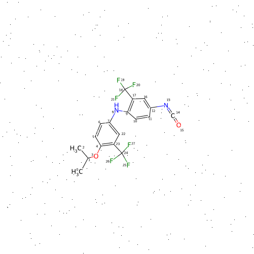 CC(C)Oc1ccc(Nc2ccc(N=C=O)cc2C(F)(F)F)cc1C(F)(F)F